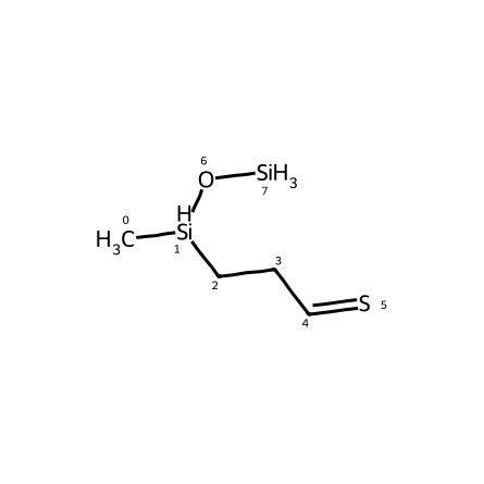 C[SiH](CCC=S)O[SiH3]